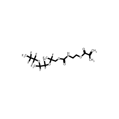 C=C(C)C(=O)OCCNC(=O)OCC(F)(OC(F)(F)C(F)(OC(F)(F)C(F)(F)C(F)(F)F)C(F)(F)F)C(F)(F)F